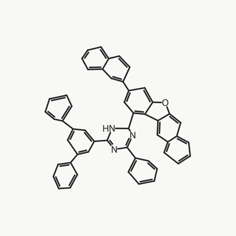 c1ccc(C2=NC(c3cc(-c4ccc5ccccc5c4)cc4oc5cc6ccccc6cc5c34)NC(c3cc(-c4ccccc4)cc(-c4ccccc4)c3)=N2)cc1